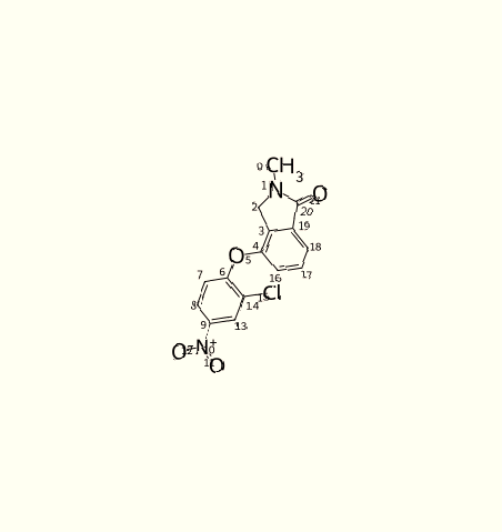 CN1Cc2c(Oc3ccc([N+](=O)[O-])cc3Cl)cccc2C1=O